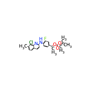 Cc1ccc2ccc(Nc3ccc([C@H](C)OC(=O)OC(C)(C)C)cc3F)nc2c1Cl